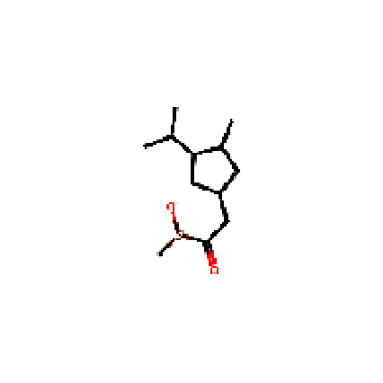 CC(C)C1CC(CC(=O)[S+](C)[O-])CC1C